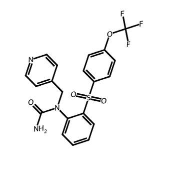 NC(=O)N(Cc1ccncc1)c1ccccc1S(=O)(=O)c1ccc(OC(F)(F)F)cc1